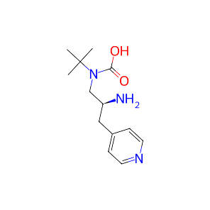 CC(C)(C)N(C[C@@H](N)Cc1ccncc1)C(=O)O